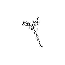 C#CCOCCOCCOCCOCCNC(=O)CC(CC(=O)N[C@@H](CCCC)C(=O)O)CC(=O)N[C@@H](CCCC)C(=O)O